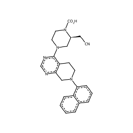 N#CC[C@H]1CN(c2ncnc3c2CCN(c2cccc4ccccc24)C3)CCN1C(=O)O